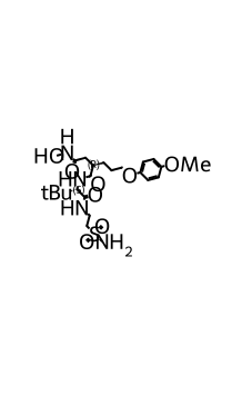 COc1ccc(OCCC[C@H](CC(=O)NO)C(=O)N[C@H](C(=O)NCCS(N)(=O)=O)C(C)(C)C)cc1